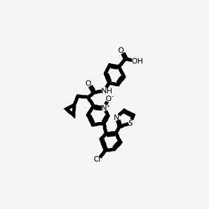 O=C(O)c1ccc(NC(=O)C(CC2CC2)c2ccc(-c3cc(Cl)ccc3-c3nccs3)c[n+]2[O-])cc1